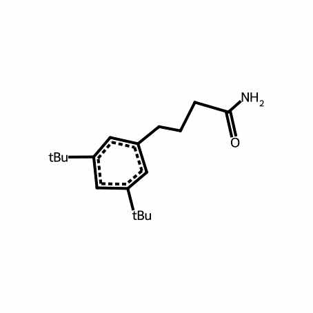 CC(C)(C)c1cc(CCCC(N)=O)cc(C(C)(C)C)c1